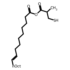 CCCCCCCCC=CCCCCCCCC(=O)OC(=O)C(C)CS